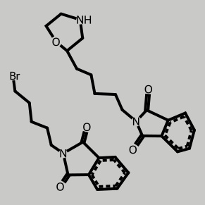 O=C1c2ccccc2C(=O)N1CCCCCBr.O=C1c2ccccc2C(=O)N1CCCCCC1CNCCO1